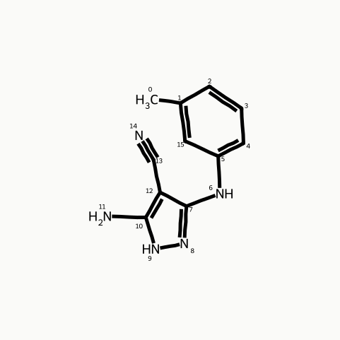 Cc1cccc(Nc2n[nH]c(N)c2C#N)c1